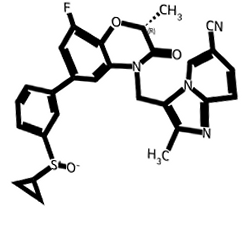 Cc1nc2ccc(C#N)cn2c1CN1C(=O)[C@@H](C)Oc2c(F)cc(-c3cccc([S+]([O-])C4CC4)c3)cc21